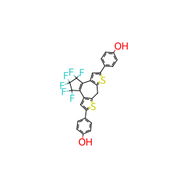 Oc1ccc(-c2cc3c(s2)Cc2sc(-c4ccc(O)cc4)cc2C2=C3C(F)(F)C(F)(F)C2(F)F)cc1